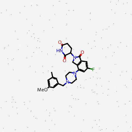 COc1cc(C)cc(CN2CCN(c3cc(F)cc4c3CN(C3CCC(=O)NC3=O)C4=O)CC2)c1